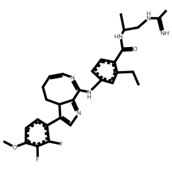 CCc1cc(N/C2=N/C=C\CCC3C(c4ccc(OC)c(F)c4F)=CN=C23)ccc1C(=O)NC(C)CNC(C)=N